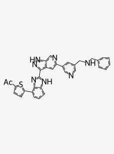 CC(=O)c1ccc(-c2cccc3[nH]c(-c4n[nH]c5cnc(-c6cncc(CNCc7ccccc7)c6)cc45)nc23)s1